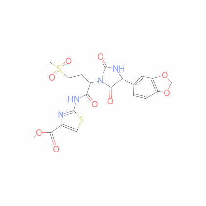 COC(=O)c1csc(NC(=O)C(CCS(C)(=O)=O)N2C(=O)NC(c3ccc4c(c3)OCO4)C2=O)n1